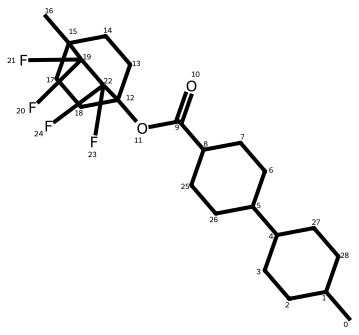 CC1CCC(C2CCC(C(=O)OC34CCC(C)(CC3)C(F)(F)C4(F)F)CC2)CC1